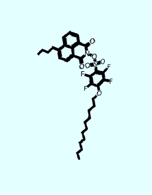 CCCCCCCCCCCCOc1c(F)c(F)c(S(=O)(=O)ON2C(=O)c3cccc4c(CCCC)ccc(c34)C2=O)c(F)c1F